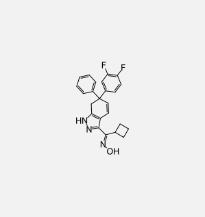 O/N=C(/c1n[nH]c2c1C=CC(c1ccccc1)(c1ccc(F)c(F)c1)C2)C1CCC1